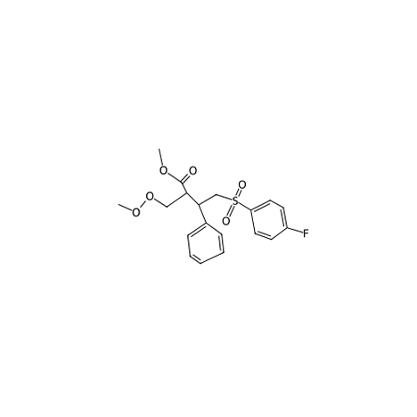 COOCC(C(=O)OC)C(CS(=O)(=O)c1ccc(F)cc1)c1ccccc1